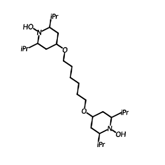 CC(C)C1CC(OCCCCCCOC2CC(C(C)C)N(O)C(C(C)C)C2)CC(C(C)C)N1O